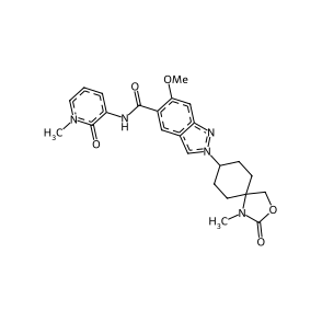 COc1cc2nn(C3CCC4(CC3)COC(=O)N4C)cc2cc1C(=O)Nc1cccn(C)c1=O